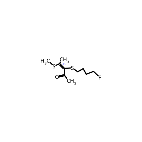 CS/C(C)=C(/SCCCCF)C(C)=O